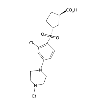 CCN1CCN(c2ccc(S(=O)(=O)[C@@H]3CC[C@@H](C(=O)O)C3)c(Cl)c2)CC1